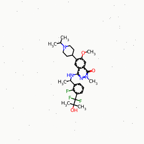 COc1cc2c(=O)n(C)nc(N[C@H](C)c3cccc(C(F)(F)C(C)(C)O)c3F)c2cc1C1CCN(C(C)C)CC1